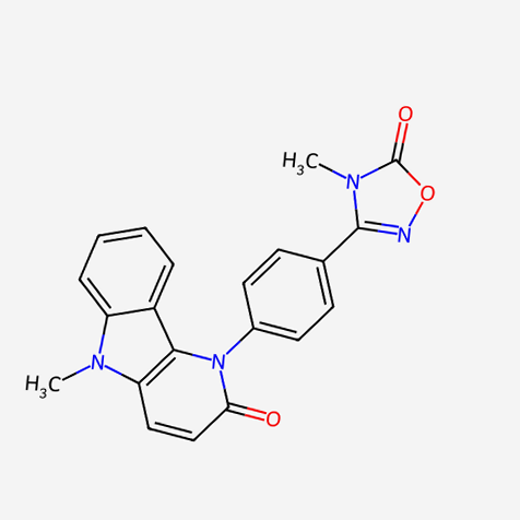 Cn1c(-c2ccc(-n3c(=O)ccc4c3c3ccccc3n4C)cc2)noc1=O